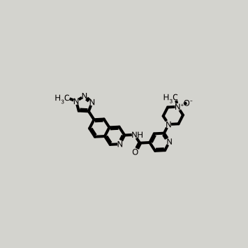 Cn1cc(-c2ccc3cnc(NC(=O)c4ccnc(N5CC[N+](C)([O-])CC5)c4)cc3c2)nn1